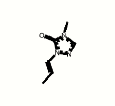 C/C=C/n1ncn(C)c1=O